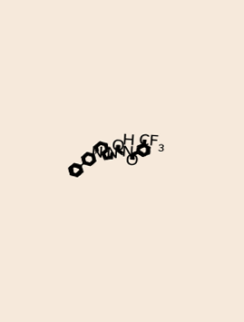 O=C(NCC(=O)N1CCC2C1CCCN2[C@H]1CC[C@H](c2ccccc2)CC1)c1cccc(C(F)(F)F)c1